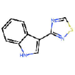 c1ccc2c(-c3ncsn3)c[nH]c2c1